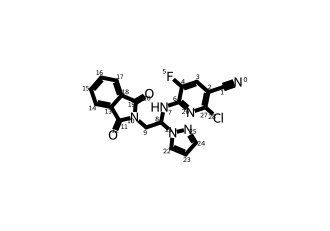 N#Cc1cc(F)c(NC(CN2C(=O)c3ccccc3C2=O)n2cccn2)nc1Cl